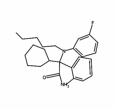 CCCCCN(c1cccc(F)c1)C(C(N)=O)(c1ccccc1C)C1CCCCC1